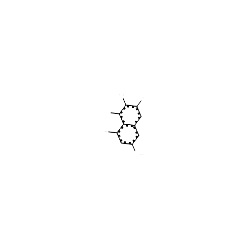 Oc1cc(F)c2c(F)c(O)c(F)cc2c1